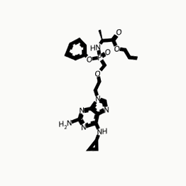 CCCOC(=O)[C@H](C)NP(=O)(COCCn1cnc2c(NC3CC3)nc(N)nc21)Oc1ccccc1